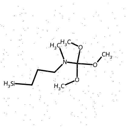 COC(OC)(OC)N(C)CCC[SiH3]